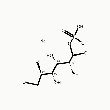 O=P(O)(O)OC(O)[C@H](O)[C@@H](O)[C@H](O)[C@H](O)CO.[NaH]